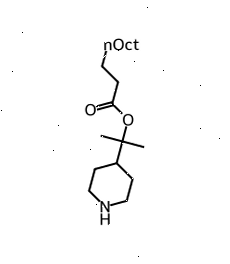 CCCCCCCCCCC(=O)OC(C)(C)C1CCNCC1